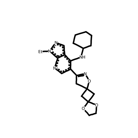 CCn1ncc2c(NC3CCCCC3)c(C3=NOC4(C3)CC3(C4)OCCO3)cnc21